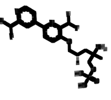 C[C@H](COc1ccc(-c2ccnc(C(F)F)c2)nc1C(F)F)CC(C)(N)COP(=O)(O)O